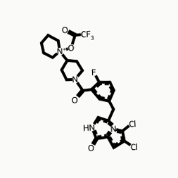 O=C(c1cc(Cc2c[nH]c(=O)c3cc(Cl)c(Cl)n23)ccc1F)N1CCC([N+]2(OC(=O)C(F)(F)F)CCCCC2)CC1